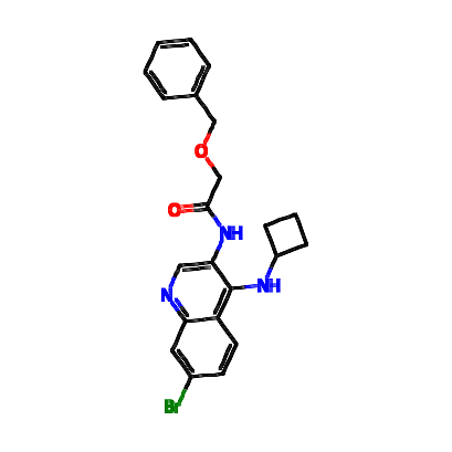 O=C(COCc1ccccc1)Nc1cnc2cc(Br)ccc2c1NC1CCC1